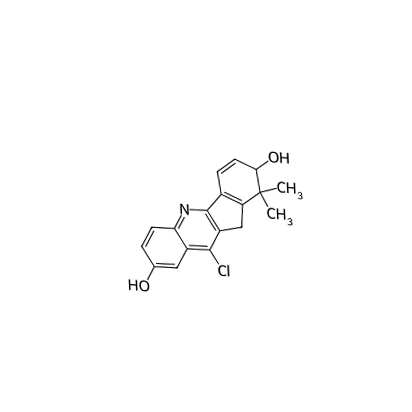 CC1(C)C2=C(C=CC1O)c1nc3ccc(O)cc3c(Cl)c1C2